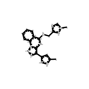 Cc1cc(-c2nnn3c2nc(OCc2ncn(C)n2)c2ccccc23)no1